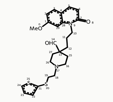 COc1ccc2ccc(=O)n(CCCC3(C=O)CCN(CCSc4cccs4)CC3)c2c1